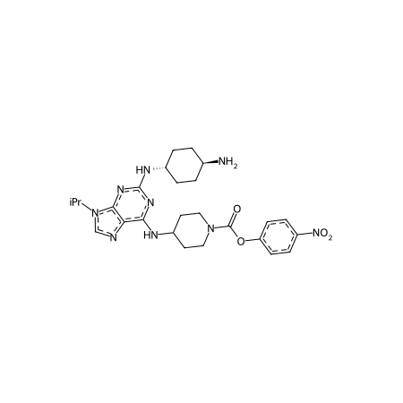 CC(C)n1cnc2c(NC3CCN(C(=O)Oc4ccc([N+](=O)[O-])cc4)CC3)nc(N[C@H]3CC[C@H](N)CC3)nc21